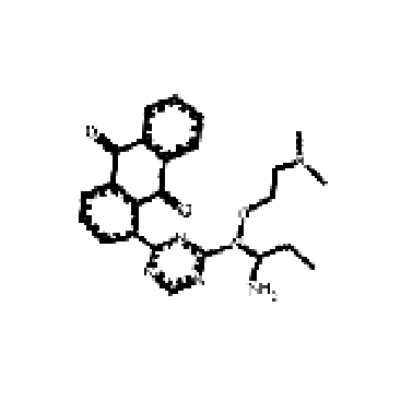 CCC(N)N(OCCN(C)C)c1ncnc(-c2cccc3c2C(=O)c2ccccc2C3=O)n1